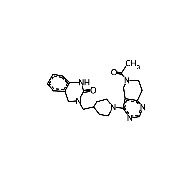 CC(=O)N1CCc2ncnc(N3CCC(CN4Cc5ccccc5NC4=O)CC3)c2C1